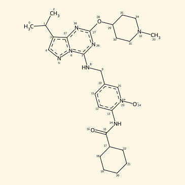 CC(C)c1cnn2c(NCc3ccc(NC(=O)C4CCCCC4)[n+]([O-])c3)nc(OC3CCN(C)CC3)nc12